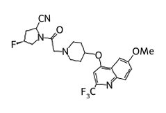 COc1ccc2nc(C(F)(F)F)cc(OC3CCN(CC(=O)N4C[C@@H](F)CC4C#N)CC3)c2c1